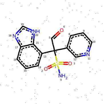 NS(=O)(=O)C(C=O)(c1cccnc1)c1cccc2nc[nH]c12